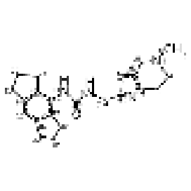 CN1CCc2nc(SNC(=O)Nc3c4c(cc5c3CCC5)CCC4)sc2C1